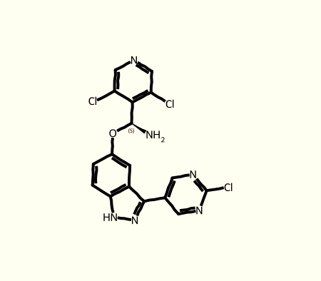 N[C@@H](Oc1ccc2[nH]nc(-c3cnc(Cl)nc3)c2c1)c1c(Cl)cncc1Cl